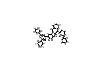 c1ccc(-c2cccc(-c3c4ccccc4cc4c3oc3ccc(-c5nc(-c6ccccc6)nc(-c6ccccc6)n5)cc34)c2)cc1